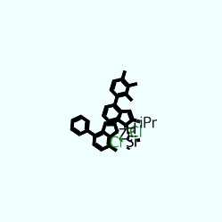 CC1=Cc2c(-c3ccccc3)ccc(C)c2[CH]1[Zr]([Cl])([Cl])([CH]1C(C(C)C)=Cc2c(-c3ccc(C)c(C)c3C)cccc21)[SiH](C)C